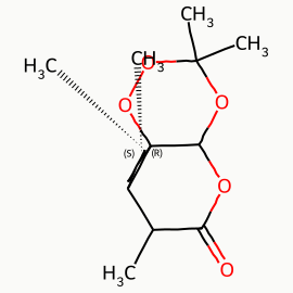 CC1C(=O)OC2OC(C)(C)OOC23C1CC[C@H](C)[C@H]3C